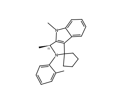 Cc1ccccc1N1[C@@H](C)c2c(c3ccccc3n2C)C12CCCC2